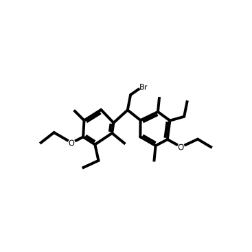 CCOc1c(C)cc(C(CBr)c2cc(C)c(OCC)c(CC)c2C)c(C)c1CC